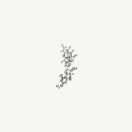 C=C/C(OP(=O)(N[C@@H](C)C(=O)OCCCC)OC[C@H]1O[C@@H](n2ccc(N)nc2=O)[C@](C)(C#N)[C@@H]1O)=C(C)/C=C\C